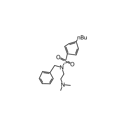 CCCCc1ccc(S(=O)(=O)N(CCN(C)C)Cc2ccccc2)cc1